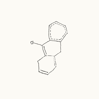 ClC1=C2CC=CC=C2Cc2ccccc21